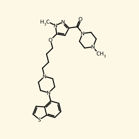 CN1CCN(C(=O)c2cc(OCCCCN3CCN(c4cccc5sccc45)CC3)n(C)n2)CC1